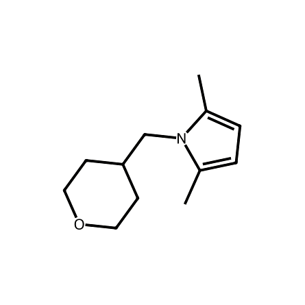 Cc1ccc(C)n1CC1CCOCC1